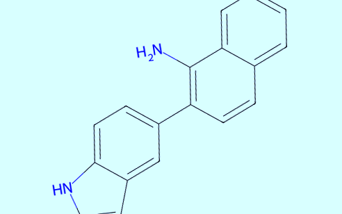 Nc1c(-c2ccc3[nH]ccc3c2)ccc2ccccc12